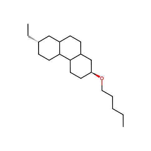 CCCCCO[C@H]1CCC2C(CCC3C[C@@H](CC)CCC32)C1